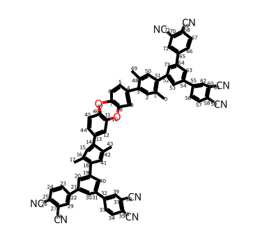 Cc1cc(-c2ccc3c(c2)Oc2cc(-c4cc(C)c(-c5cc(-c6ccc(C#N)c(C#N)c6)cc(-c6ccc(C#N)c(C#N)c6)c5)cc4C)ccc2O3)c(C)cc1-c1cc(-c2ccc(C#N)c(C#N)c2)cc(-c2ccc(C#N)c(C#N)c2)c1